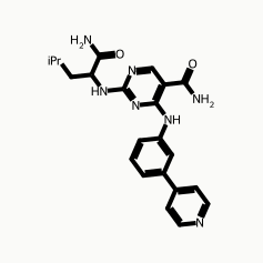 CC(C)CC(Nc1ncc(C(N)=O)c(Nc2cccc(-c3ccncc3)c2)n1)C(N)=O